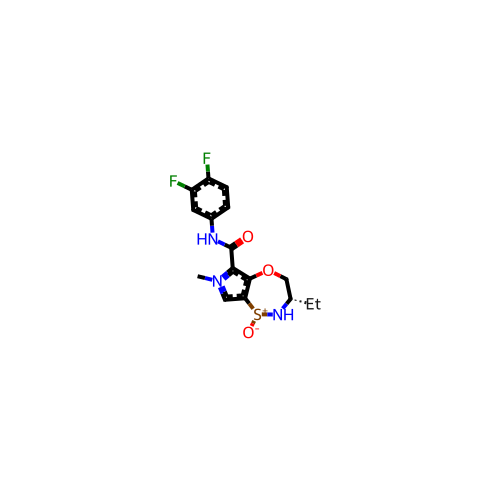 CC[C@H]1COc2c(cn(C)c2C(=O)Nc2ccc(F)c(F)c2)[S+]([O-])N1